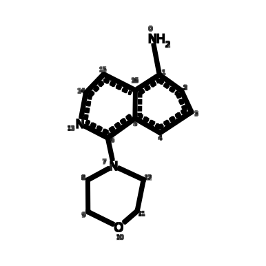 Nc1cccc2c(N3CCOCC3)nccc12